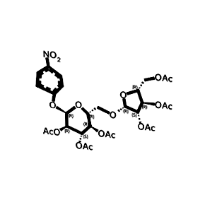 CC(=O)OC[C@H]1O[C@@H](OC[C@H]2O[C@H](Oc3ccc([N+](=O)[O-])cc3)[C@H](OC(C)=O)[C@@H](OC(C)=O)[C@@H]2OC(C)=O)[C@@H](OC(C)=O)[C@@H]1OC(C)=O